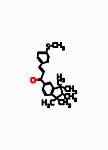 CSc1ccc(C=CC(=O)c2ccc3c(c2)C(C)(C)C(C)C3(C)C)cc1